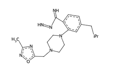 Cc1noc(CN2CCN(c3cc(CC(C)C)ccc3C(=N)N=N)CC2)n1